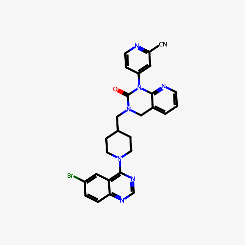 N#Cc1cc(N2C(=O)N(CC3CCN(c4ncnc5ccc(Br)cc45)CC3)Cc3cccnc32)ccn1